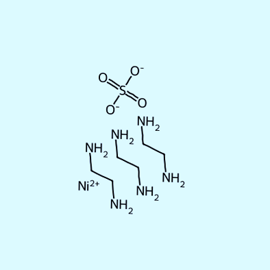 NCCN.NCCN.NCCN.O=S(=O)([O-])[O-].[Ni+2]